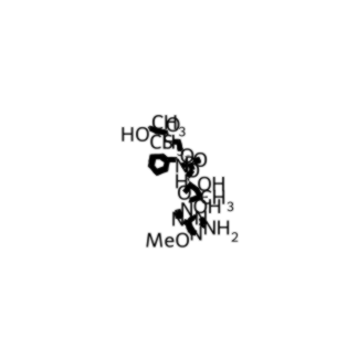 COc1nc(N)nc2c1ncn2[C@@H]1O[C@H](COP(=O)(NCc2ccccc2)OCCSC(=O)C(C)(C)CO)[C@@H](O)[C@@]1(C)O